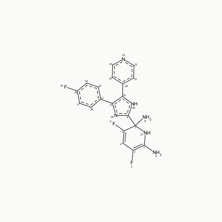 NC1=C(F)C=C(F)C(N)(c2nc(-c3ccc(F)cc3)c(-c3ccncc3)[nH]2)N1